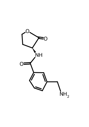 NCc1cccc(C(=O)N[C@H]2CCOC2=O)c1